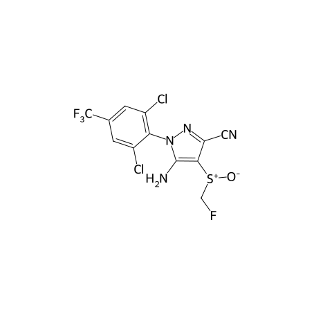 N#Cc1nn(-c2c(Cl)cc(C(F)(F)F)cc2Cl)c(N)c1[S+]([O-])CF